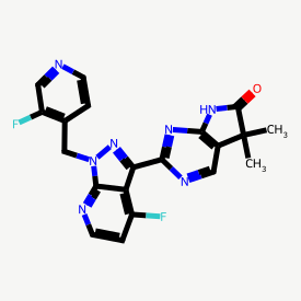 CC1(C)C(=O)Nc2nc(-c3nn(Cc4ccncc4F)c4nccc(F)c34)ncc21